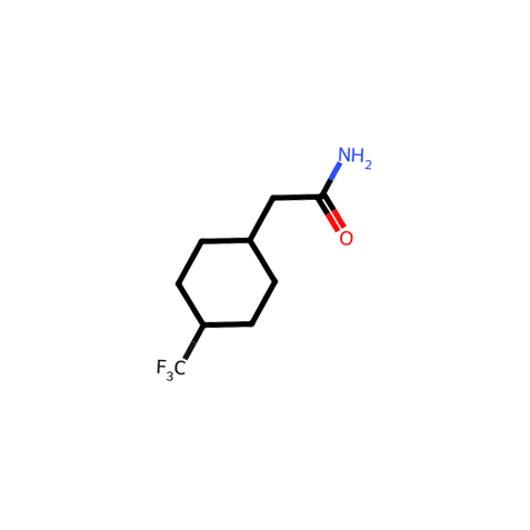 NC(=O)CC1CCC(C(F)(F)F)CC1